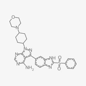 Nc1ncnc2c1c(-c1ccc3nc(S(=O)(=O)c4ccccc4)[nH]c3c1)nn2C1CCC(N2CCOCC2)CC1